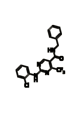 O=C(NCc1ccccc1)c1cnc(Nc2ccccc2Cl)nc1C(F)(F)F